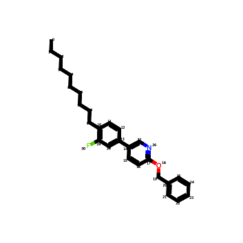 CCCCCCCCCCc1ccc(-c2ccc(OCc3ccccc3)nc2)cc1F